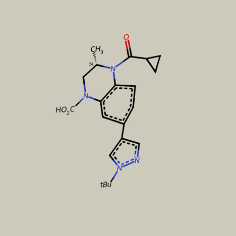 C[C@H]1CN(C(=O)O)c2cc(-c3cnn(C(C)(C)C)c3)ccc2N1C(=O)C1CC1